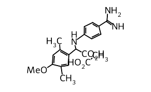 CC(=O)O.COc1cc(C)c(C(Nc2ccc(C(=N)N)cc2)C(=O)O)cc1C